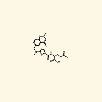 Cc1cc(=O)c2cc(CN(C)c3ccc(C(=O)N[C@@H](CCC(=O)O)C(=O)O)s3)ccc2[nH]1